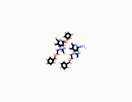 Cc1nc(N)c2nc(C)n(CCOCc3ccccc3)c2c1C.Cc1nc(Oc2ccccc2)c2nc(C)n(CCOCc3ccccc3)c2c1C